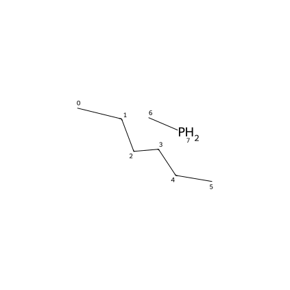 CCCCCC.CP